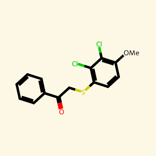 COc1ccc(SCC(=O)c2ccccc2)c(Cl)c1Cl